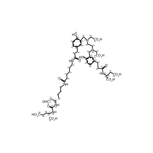 O=CO[C@H](CCCCNC(=O)CCCCCNC(=O)CCc1ccc(O)c(CN(CCN(CC(=O)O)Cc2cc(CCC(=O)N[C@@H](CC(=O)O)C(=O)O)ccc2O)CC(=O)O)c1)NC(=O)N[C@@H](CCC(=O)O)C(=O)O